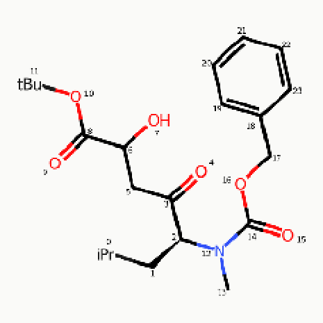 CC(C)C[C@@H](C(=O)CC(O)C(=O)OC(C)(C)C)N(C)C(=O)OCc1ccccc1